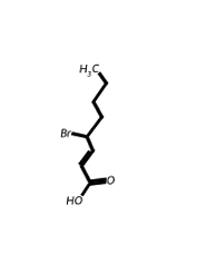 CCCCC(Br)/C=C/C(=O)O